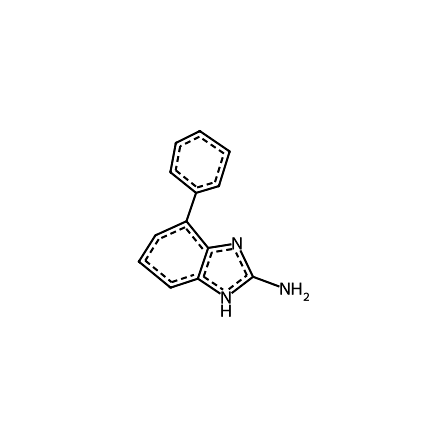 Nc1nc2c(-c3ccccc3)cccc2[nH]1